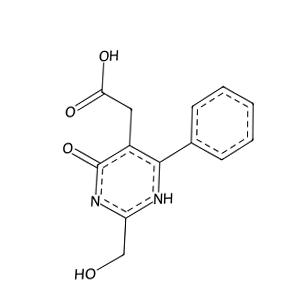 O=C(O)Cc1c(-c2ccccc2)[nH]c(CO)nc1=O